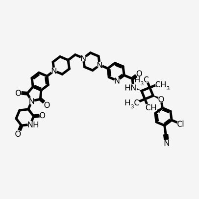 CC1(C)[C@H](NC(=O)c2ccc(N3CCN(CC4CCN(c5ccc6c(c5)C(=O)N(C5CCC(=O)NC5=O)C6=O)CC4)CC3)cn2)C(C)(C)[C@H]1Oc1ccc(C#N)c(Cl)c1